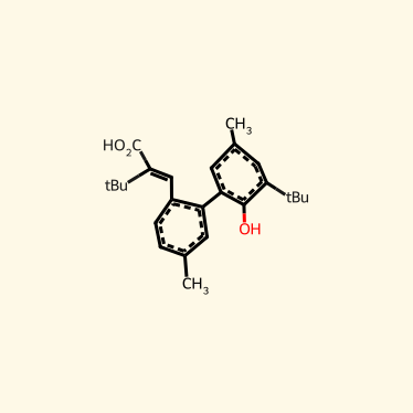 Cc1ccc(C=C(C(=O)O)C(C)(C)C)c(-c2cc(C)cc(C(C)(C)C)c2O)c1